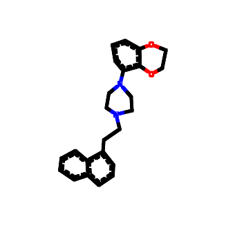 c1cc2c(c(N3CCN(CCc4cccc5ccccc45)CC3)c1)OCCO2